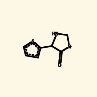 O=C1[N]CNC1c1cccs1